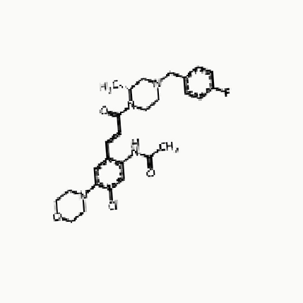 CC(=O)Nc1cc(Cl)c(N2CCOCC2)cc1/C=C/C(=O)N1CCN(Cc2ccc(F)cc2)C[C@H]1C